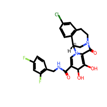 O=C(NCc1ccc(F)cc1F)C1=CN2C(=C(O)C1O)C(=O)N1CCc3cc(Cl)ccc3[C@@H]2C1